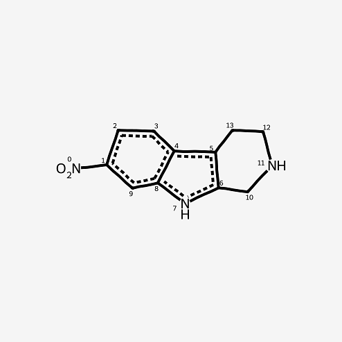 O=[N+]([O-])c1ccc2c3c([nH]c2c1)CNCC3